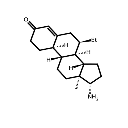 CC[C@@H]1CC2=CC(=O)CC[C@@H]2[C@H]2CC[C@]3(C)[C@@H](N)CC[C@H]3[C@H]12